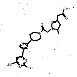 COC(=O)CC1=NN(CC(=O)N2CCC(c3nc(-c4cc(C(C)(C)C)nc(C(C)(C)C)n4)cs3)CC2)C(C)C1